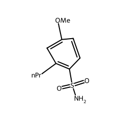 CCCc1cc(OC)ccc1S(N)(=O)=O